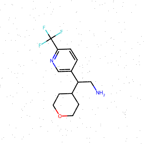 NCC(c1ccc(C(F)(F)F)nc1)C1CCOCC1